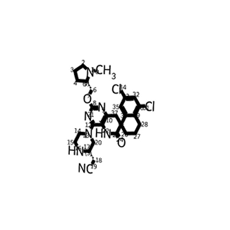 CN1CCC[C@H]1COc1nc2c(c(N3CCN[C@@H](CC#N)C3)n1)NC(=O)C1(CCCc3c(Cl)cc(Cl)cc31)C2